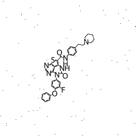 O=C(Nc1ccc(CCN2CCCCC2)cc1)c1sc2ncnc3c2c1NC(=O)N3c1ccc(Oc2ccccc2)c(F)c1